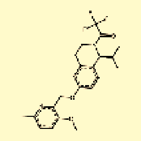 COc1ccc(C)nc1COc1ccc2c(c1)CCN(C(=O)C(F)(F)F)[C@H]2C(C)C